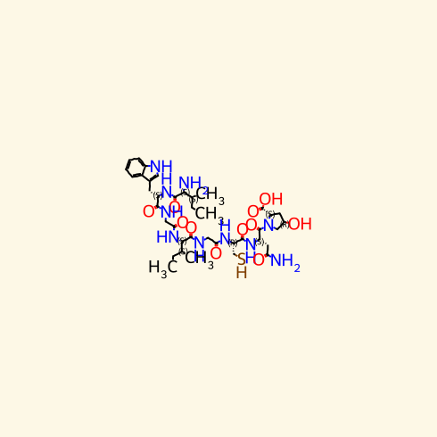 CC[C@H](C)[C@H](N)C(=O)N[C@@H](Cc1c[nH]c2ccccc12)C(=O)NCC(=O)N[C@H](C(=O)NCC(=O)N[C@@H](CS)C(=O)N[C@@H](CC(N)=O)C(=O)N1C[C@H](O)C[C@H]1C(=O)O)[C@@H](C)CC